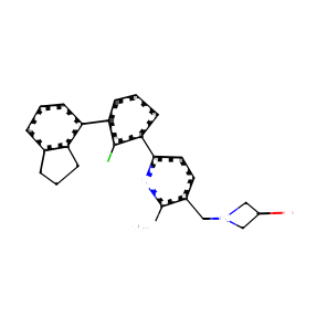 COc1nc(-c2cccc(-c3cccc4c3CCC4)c2Cl)ccc1CN1CC(O)C1